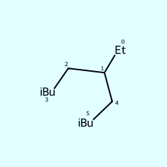 [CH2]CC(CC(C)CC)CC(C)CC